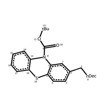 CCCCCCCCCCCc1ccc2c(c1)N(C(=O)OC(C)(C)C)c1ccccc1S2